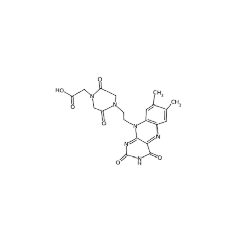 Cc1cc2nc3c(=O)[nH]c(=O)nc-3n(CCN3CC(=O)N(CC(=O)O)CC3=O)c2cc1C